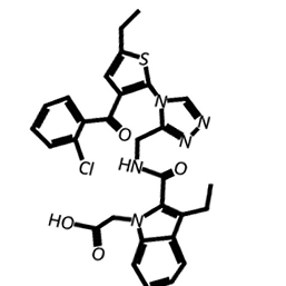 CCc1cc(C(=O)c2ccccc2Cl)c(-n2cnnc2CNC(=O)c2c(CC)c3ccccc3n2CC(=O)O)s1